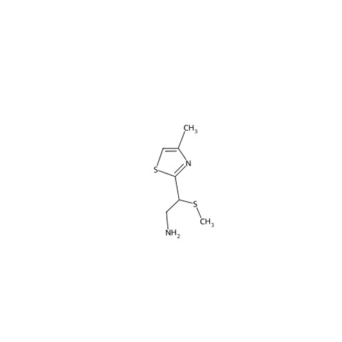 CSC(CN)c1nc(C)cs1